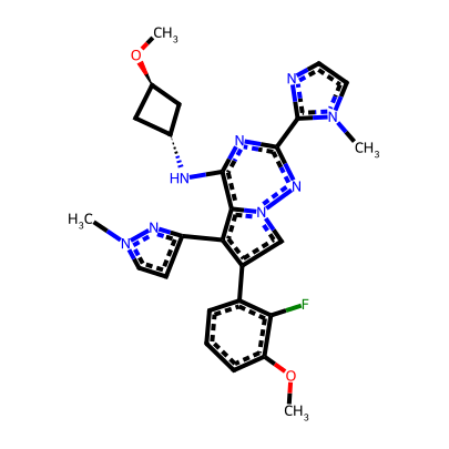 COc1cccc(-c2cn3nc(-c4nccn4C)nc(N[C@H]4C[C@H](OC)C4)c3c2-c2ccn(C)n2)c1F